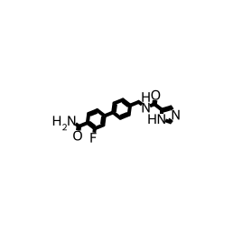 NC(=O)c1ccc(-c2ccc(CNC(=O)c3cnc[nH]3)cc2)cc1F